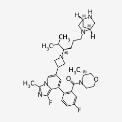 Cc1nc(F)c2c(-c3ccc(F)cc3C(=O)N3CCOC[C@H]3C)cc(C3CN([C@H](CCCN4C[C@H]5C[C@@H]4CN5)C(C)C)C3)cn12